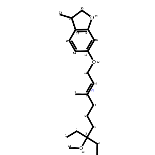 CCC(CC)(CCC/C(C)=C/COc1ccc2c(c1)OCC2C)OC